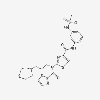 CS(=O)(=O)Nc1cccc(NC(=O)c2csc(N(CCCN3CCOCC3)C(=O)c3cccs3)n2)c1